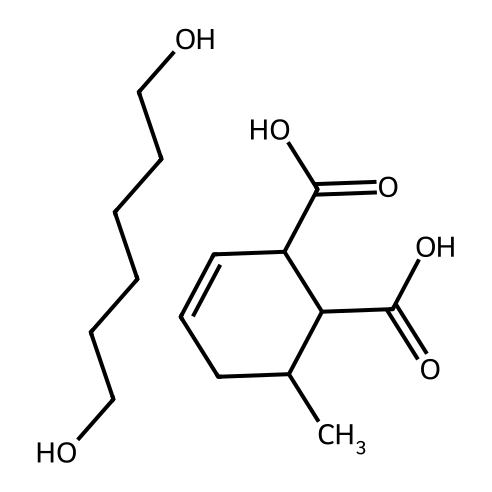 CC1CC=CC(C(=O)O)C1C(=O)O.OCCCCCCO